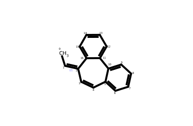 C/C=C1/C=Cc2ccccc2-c2ccccc21